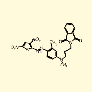 Cc1cc(N(C)CCCN2C(=O)c3ccccc3C2=O)ccc1/N=N/c1sc([N+](=O)[O-])cc1[N+](=O)[O-]